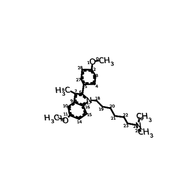 COc1ccc(-c2c(C)c3cc(OC)ccc3n2CCCCCCN(C)C)cc1